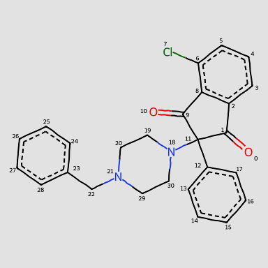 O=C1c2cccc(Cl)c2C(=O)C1(c1ccccc1)N1CCN(Cc2ccccc2)CC1